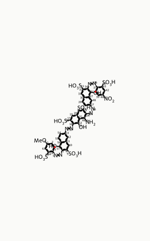 COc1ccc(/N=N\c2c(S(=O)(=O)O)cc3cc(N=Nc4c(S(=O)(=O)O)cc5cc(S(=O)(=O)O)c(/N=N\c6ccc7cc(S(=O)(=O)O)c(/N=N\c8ccc([N+](=O)[O-])cc8S(=O)(=O)O)c(O)c7c6)c(N)c5c4O)ccc3c2O)c(S(=O)(=O)O)c1